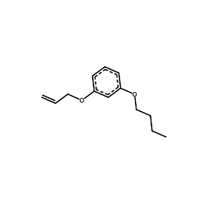 C=CCOc1cccc(OCCCC)c1